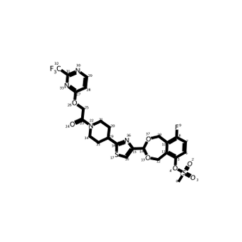 CS(=O)(=O)Oc1ccc(F)c2c1COC(c1csc(C3CCN(C(=O)COc4ccnc(C(F)(F)F)n4)CC3)n1)OC2